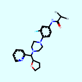 CCC(CC)C(=O)Nc1ccc(N2CCN(C(c3ccccn3)C3CCCO3)CC2)c(F)c1